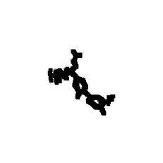 C=C(C)CCC(=N)c1ccc(-c2ccc(C)c(F)c2)c(C)c1